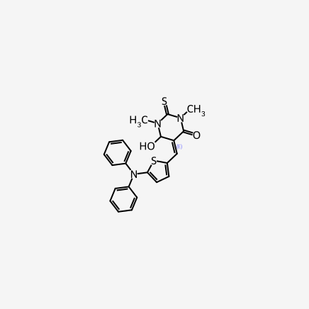 CN1C(=O)/C(=C/c2ccc(N(c3ccccc3)c3ccccc3)s2)C(O)N(C)C1=S